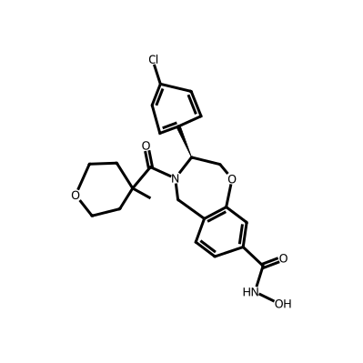 CC1(C(=O)N2Cc3ccc(C(=O)NO)cc3OC[C@@H]2c2ccc(Cl)cc2)CCOCC1